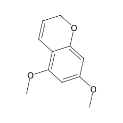 COc1cc(OC)c2c(c1)OCC=C2